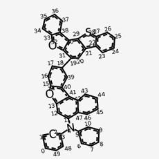 c1ccc(N(c2ccccc2)c2cc3oc4ccc(-c5cc6c7ccccc7sc6c6c5oc5ccccc56)cc4c3c3ccccc23)cc1